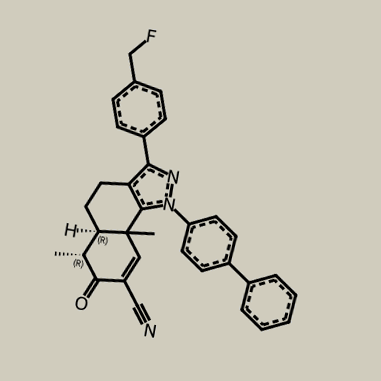 C[C@H]1C(=O)C(C#N)=CC2(C)c3c(c(-c4ccc(CF)cc4)nn3-c3ccc(-c4ccccc4)cc3)CC[C@H]12